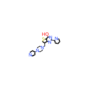 Oc1nc(-c2ccccn2)nc2c(CN3CCN(c4ccncc4)CC3)csc12